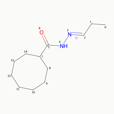 CC/C=N/NC(=O)C1CCCCCCC1